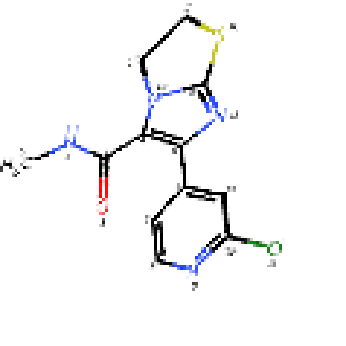 CNC(=O)c1c(-c2ccnc(Cl)c2)nc2n1CCS2